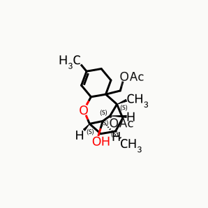 CC(=O)OCC12CCC(C)=CC1O[C@H]1C[C@@H](C)C[C@]2(C)[C@H](OC(C)=O)[C@H]1O